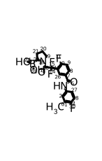 Cc1cc(NC(=O)c2ccc(F)c(C(F)(F)C(=O)N3CCCC3B(O)O)c2)ccc1F